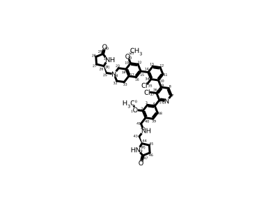 COc1cc(-c2nccc(-c3cccc(-c4cc5c(c(OC)c4)CN(C[C@H]4CCC(=O)N4)CC5)c3Cl)c2Cl)ccc1CNC[C@H]1CCC(=O)N1